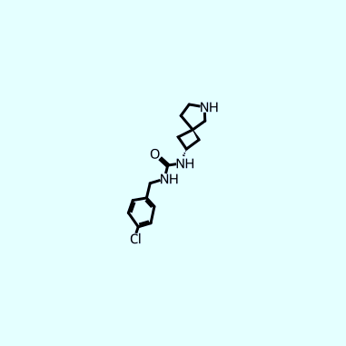 O=C(NCc1ccc(Cl)cc1)N[C@H]1C[C@]2(CCNC2)C1